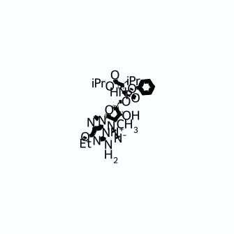 CCOc1nc(N)nc2c1ncn2[C@@H]1O[C@H](COP(=O)(N[C@H](C(=O)OC(C)C)C(C)C)Oc2ccccc2)[C@@H](O)C1(C)N=[N+]=[N-]